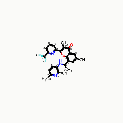 Cc1cc(C(C)Nc2ccc(C)nc2C#N)c2oc(-c3cccc(C(F)F)n3)c(C)c(=O)c2c1